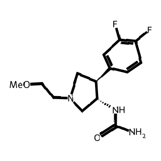 COCCN1C[C@@H](NC(N)=O)[C@H](c2ccc(F)c(F)c2)C1